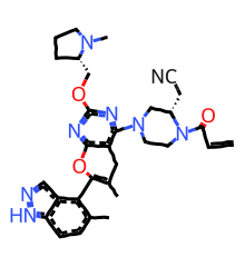 C=CC(=O)N1CCN(c2nc(OC[C@@H]3CCCN3C)nc3c2CC(C)=C(c2c(C)ccc4[nH]ncc24)O3)C[C@@H]1CC#N